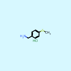 CSc1ccc(CN)cc1.Cl